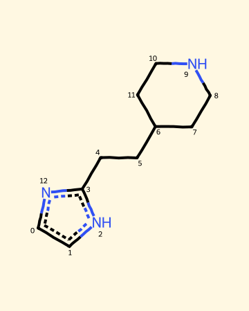 c1c[nH]c(CCC2CCNCC2)n1